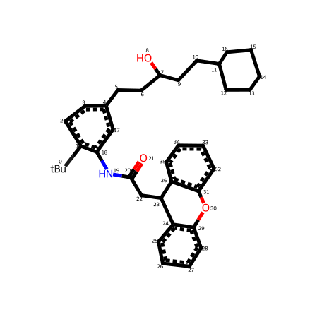 CC(C)(C)c1ccc(CCC(O)CCC2CCCCC2)cc1NC(=O)CC1c2ccccc2Oc2ccccc21